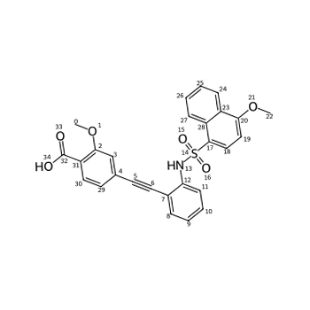 COc1cc(C#Cc2ccccc2NS(=O)(=O)c2ccc(OC)c3ccccc23)ccc1C(=O)O